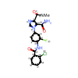 CNC(=O)c1ncn(-c2ccc(NC(=O)c3ccccc3Cl)c(F)c2)c1C(N)=O